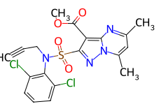 C#CCN(c1c(Cl)cccc1Cl)S(=O)(=O)c1nn2c(C)cc(C)nc2c1C(=O)OC